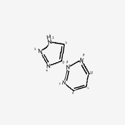 c1c[nH]nn1.c1cnnnc1